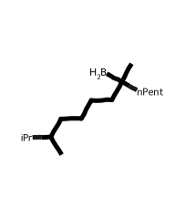 BC(C)(CCCCC)CCCCC(C)C(C)C